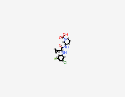 O=C(NC1CCCN(C(=O)O)C1)C(Nc1cc(F)cc(Cl)c1)C1CC1